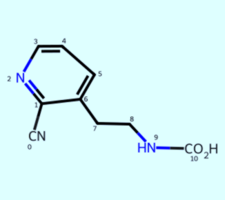 N#Cc1ncccc1CCNC(=O)O